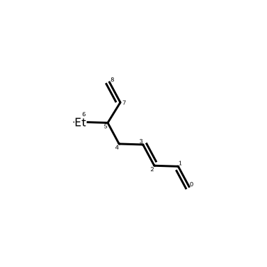 C=C/C=C/CC([CH]C)C=C